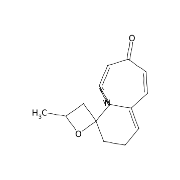 CC1CC2(CCC=C3C=CC(=O)C=C4C=CN=CC342)O1